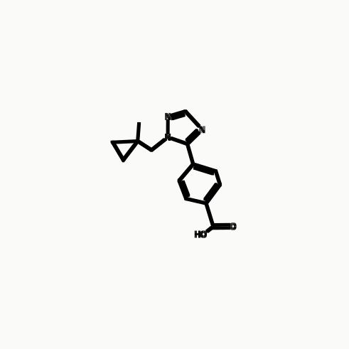 CC1(Cn2ncnc2-c2ccc(C(=O)O)cc2)CC1